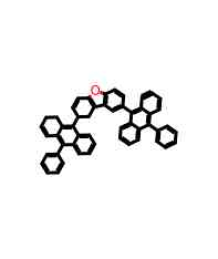 c1ccc2c(-c3ccccc3)c3ccccc3c(-c3ccc4oc5c(c4c3)CC(c3c4c(c(-c6ccccc6)c6ccccc36)C=CCC4)C=C5)c2c#1